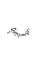 CCOc1ccccc1C(=O)N=NOC(=O)ON=NC(=O)c1ccccc1OCC